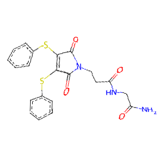 NC(=O)CNC(=O)CCN1C(=O)C(Sc2ccccc2)=C(Sc2ccccc2)C1=O